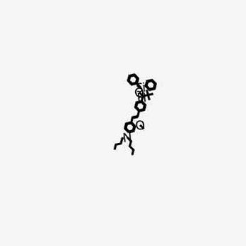 CCCCN(CCCC)c1ccc(/C=C/c2ccc(C(O[SiH](c3ccccc3)c3ccccc3)C(C)(C)C)cc2)c(OC)c1